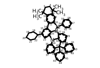 CC1(C)CCC(C)(C)c2cc3c(cc21)-c1cc(C2CCCCC2)cc2c1B(c1cccc4c1N2c1ccccc1C4(c1ccccc1)c1ccccc1)N3c1ccccc1